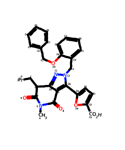 CC(C)CC1C(=O)N(C)C(=O)c2c1nn(Cc1ccccc1OCc1ccccc1)c2-c1ccc(C(=O)O)o1